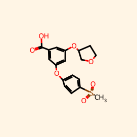 CS(=O)(=O)c1ccc(Oc2cc(OC3CCOC3)cc(C(=O)O)c2)cc1